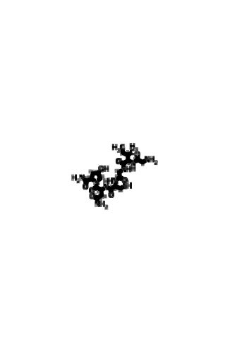 CCC(C)C(NC(=O)CN)C(=O)NCC(=O)NC(CS)C(=O)NC(CC(N)=O)C(=O)N1CC(O)CC1C(N)=O